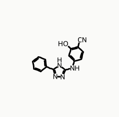 N#Cc1ccc(Nc2nnc(-c3ccccc3)[nH]2)cc1O